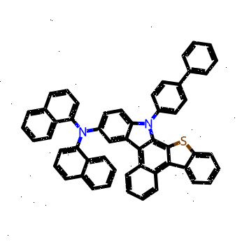 c1ccc(-c2ccc(-n3c4ccc(N(c5cccc6ccccc56)c5cccc6ccccc56)cc4c4c5ccccc5c5c6ccccc6sc5c43)cc2)cc1